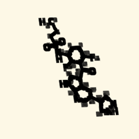 CCCS(=O)(=O)Nc1ccc(F)c(C(=O)c2c[nH]c3ncc(-c4cn[nH]c4)cc23)c1F